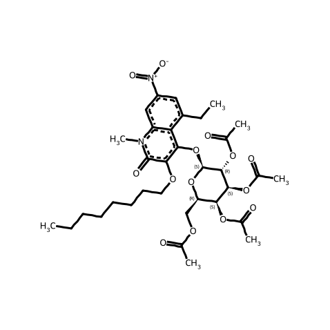 CCCCCCCCOc1c(O[C@@H]2O[C@H](COC(C)=O)[C@H](OC(C)=O)[C@H](OC(C)=O)[C@H]2OC(C)=O)c2c(CC)cc([N+](=O)[O-])cc2n(C)c1=O